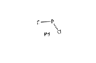 Cl[P]Cl.[Pd]